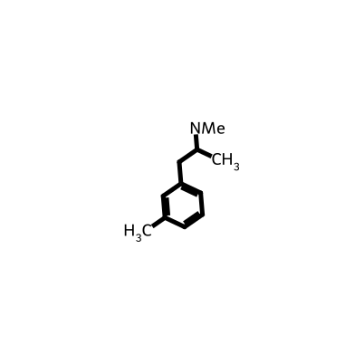 CNC(C)Cc1cccc(C)c1